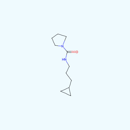 O=C(NCCCC1CC1)N1CCCC1